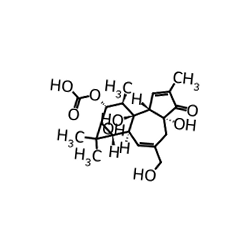 CC1=C[C@H]2[C@@]3(O)[C@H](C)[C@@H](OC(=O)O)[C@]4(O)[C@H]([C@@H]3C=C(CO)C[C@]2(O)C1=O)C4(C)C